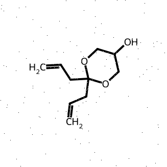 C=CCC1(CC=C)OCC(O)CO1